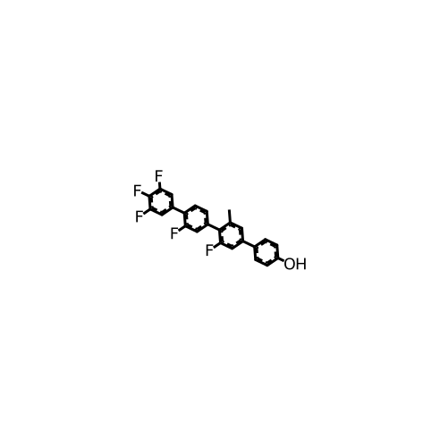 Cc1cc(-c2ccc(O)cc2)cc(F)c1-c1ccc(-c2cc(F)c(F)c(F)c2)c(F)c1